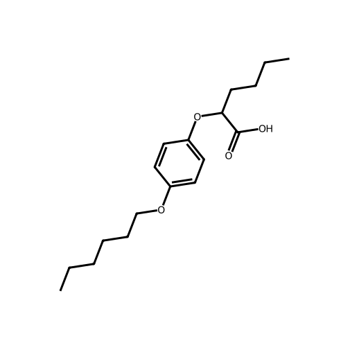 CCCCCCOc1ccc(OC(CCCC)C(=O)O)cc1